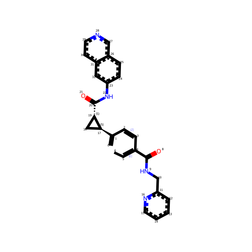 C=C(/C=C\C(=C/C)C(=O)NCc1ccccn1)[C@H]1C[C@@H]1C(=O)Nc1ccc2cnccc2c1